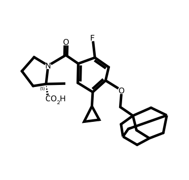 C[C@@]1(C(=O)O)CCCN1C(=O)c1cc(C2CC2)c(OCC23CC4CC(CC(C4)C2)C3)cc1F